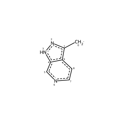 [CH2]c1n[nH]c2cnccc12